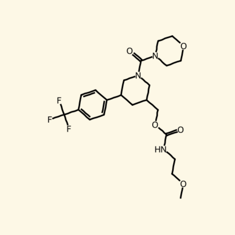 COCCNC(=O)OCC1CC(c2ccc(C(F)(F)F)cc2)CN(C(=O)N2CCOCC2)C1